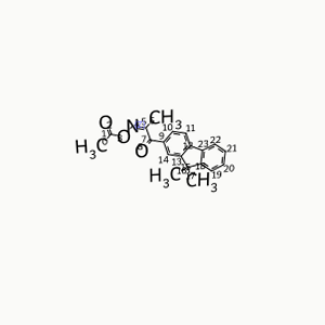 CC(=O)O/N=C(/C)C(=O)c1ccc2c(c1)C(C)(C)c1ccccc1-2